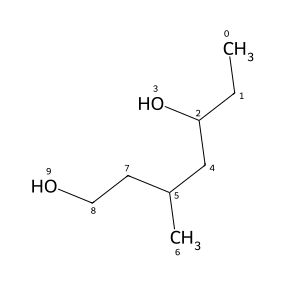 CCC(O)CC(C)CCO